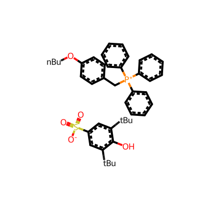 CC(C)(C)c1cc(S(=O)(=O)[O-])cc(C(C)(C)C)c1O.CCCCOc1ccc(C[P+](c2ccccc2)(c2ccccc2)c2ccccc2)cc1